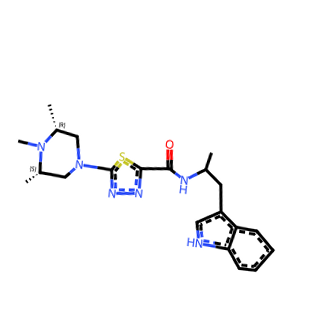 CC(Cc1c[nH]c2ccccc12)NC(=O)c1nnc(N2C[C@@H](C)N(C)[C@@H](C)C2)s1